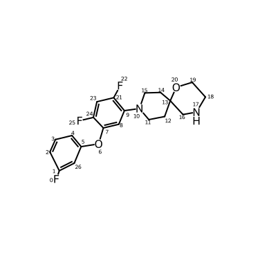 Fc1cccc(Oc2cc(N3CCC4(CC3)CNCCO4)c(F)cc2F)c1